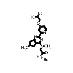 CCC(O)COc1ccnc(-c2nc3c(c(N(C)CC(=O)NC(C)(C)C)n2)CC(C)C3)c1